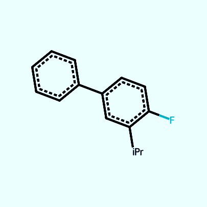 CC(C)c1cc(-c2ccccc2)ccc1F